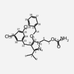 CC(C)c1nn(CCOC(N)=O)c(OCc2ccccc2)c1Cc1cc(Cl)cc(Cl)c1